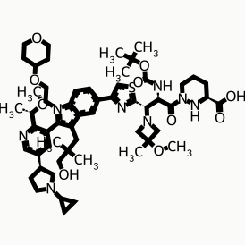 CO[C@@H](C)c1ncc([C@@H]2CCN(C3CC3)C2)cc1-c1c(CC(C)(C)CO)c2cc(-c3csc([C@H]([C@H](NC(=O)OC(C)(C)C)C(=O)N4CCC[C@@H](C(=O)O)N4)N4CC(C)(OC)C4)n3)ccc2n1CCOC1CCOCC1